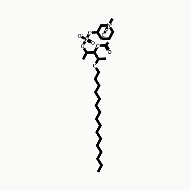 CCCCCCCCCCCCCCCCOC(C)C(OC(C)=O)C(C)OP(=O)([O-])OC1C[N+]2(C)CCC1CC2